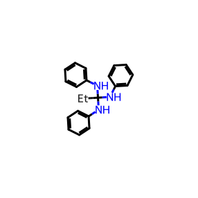 CCC(Nc1ccccc1)(Nc1ccccc1)Nc1ccccc1